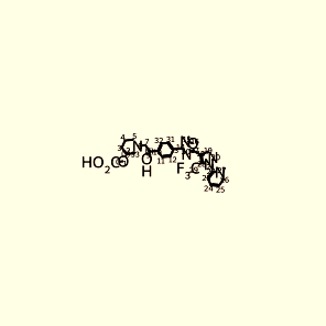 O=C(O)O[C@H]1CCCN(C[C@@H](O)c2ccc(-c3noc(-c4cnn(-c5ccccn5)c4C(F)(F)F)n3)cc2)C1